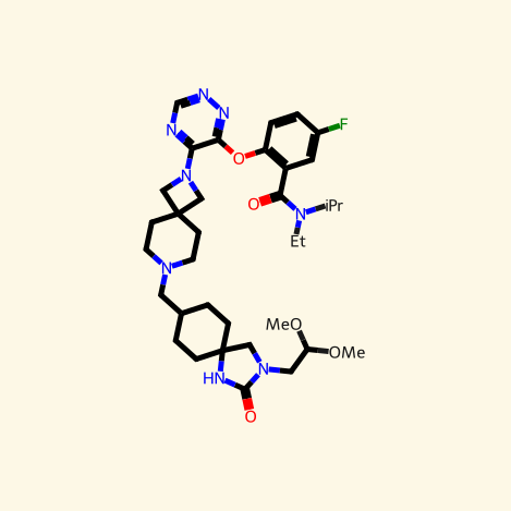 CCN(C(=O)c1cc(F)ccc1Oc1nncnc1N1CC2(CCN(CC3CCC4(CC3)CN(CC(OC)OC)C(=O)N4)CC2)C1)C(C)C